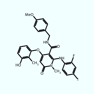 COc1ccc(CNC(=O)c2c(Oc3cccc(O)c3C)cc(=O)n(C)c2Nc2ccc(I)cc2F)cc1